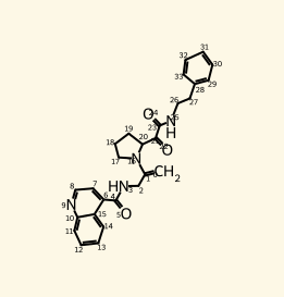 C=C(CNC(=O)c1ccnc2ccccc12)N1CCCC1C(=O)C(=O)NCCc1ccccc1